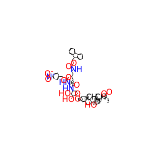 C[C@]12CC[C@H](OC3OCC(NC(=O)[C@H](CCCCNC(=O)OCC4c5ccccc5-c5ccccc54)NC(=O)OCc4ccc([N+](=O)[O-])cc4)C(O)C3O)C=C1CCC1C2CC[C@]2(C)[C@@H](c3ccc(=O)oc3)CC[C@]12O